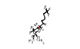 CO[Si](OC)(OC)C(F)(F)C(F)(F)C(F)(F)C(F)CCCC(F)(F)F